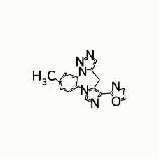 Cc1ccc2c(c1)-n1nncc1Cc1c(-c3ncco3)ncn1-2